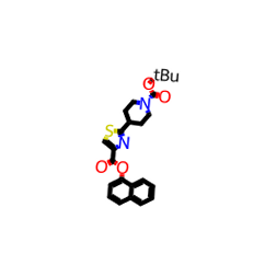 CC(C)(C)OC(=O)N1CCC(c2nc(C(=O)Oc3cccc4ccccc34)cs2)CC1